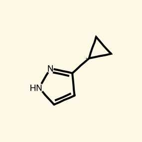 c1cc([C]2CC2)n[nH]1